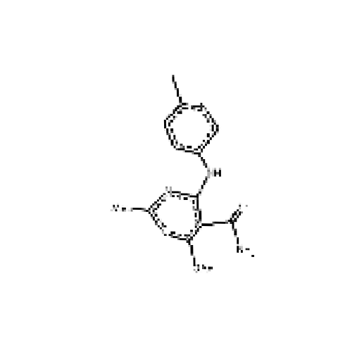 CSc1nc(Nc2ccc(C)nc2)c(C(N)=O)c(OC(C)=O)n1